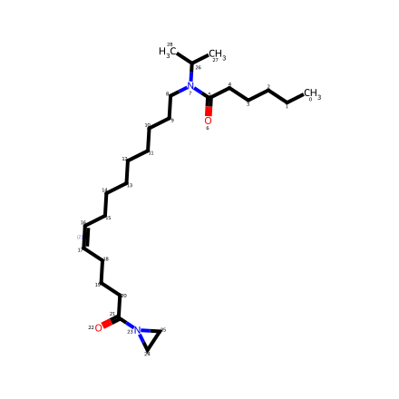 CCCCCC(=O)N(CCCCCCCC/C=C\CCCC(=O)N1CC1)C(C)C